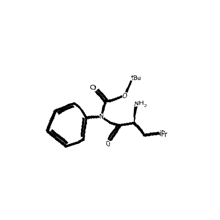 CC(C)C[C@H](N)C(=O)N(C(=O)OC(C)(C)C)c1ccccc1